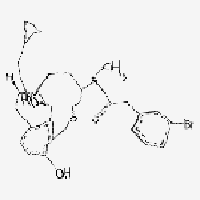 CN(C(=O)Cc1cccc(Br)c1)C1CC[C@@]2(O)[C@H]3Cc4ccc(O)c5c4[C@@]2(CCN3CC2CC2)C1O5